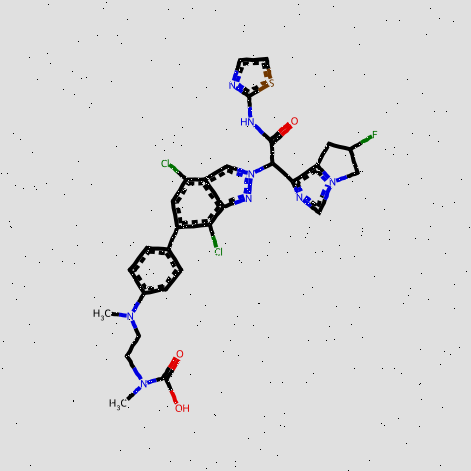 CN(CCN(C)c1ccc(-c2cc(Cl)c3cn(C(C(=O)Nc4nccs4)c4ncn5c4CC(F)C5)nc3c2Cl)cc1)C(=O)O